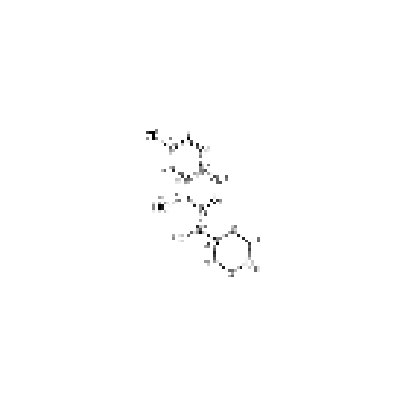 [O-][S+](c1cnc2ccc(Cl)cc2c1O)N1CCOCC1